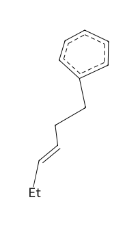 CCC=CCCc1ccccc1